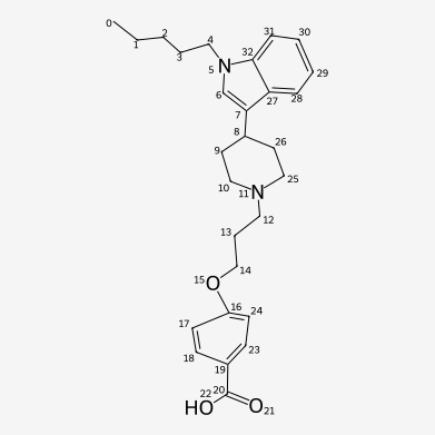 CCCCCn1cc(C2CCN(CCCOc3ccc(C(=O)O)cc3)CC2)c2ccccc21